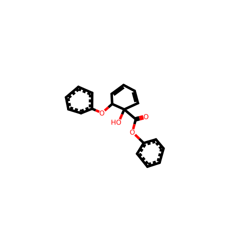 O=C(Oc1ccccc1)C1(O)C=CC=CC1Oc1ccccc1